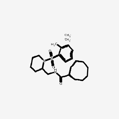 Cc1ccccc1S(=O)(=O)N1CCCCC1CNC(=O)[C]1CCCCCCC1.[CH2].[CH2]